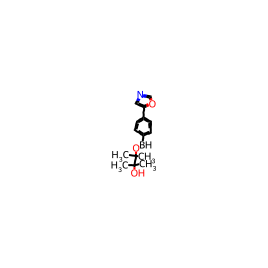 CC(C)(O)C(C)(C)OBc1ccc(-c2cnco2)cc1